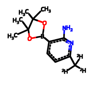 [2H]C([2H])([2H])c1ccc(B2OC(C)(C)C(C)(C)O2)c(N)n1